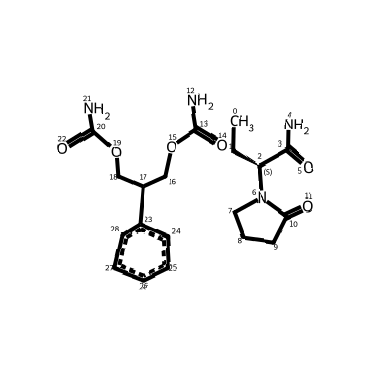 CC[C@@H](C(N)=O)N1CCCC1=O.NC(=O)OCC(COC(N)=O)c1ccccc1